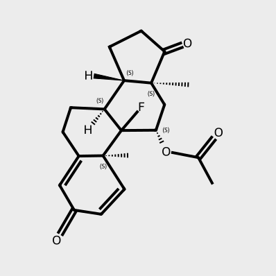 CC(=O)O[C@H]1C[C@]2(C)C(=O)CC[C@H]2[C@@H]2CCC3=CC(=O)C=C[C@]3(C)C12F